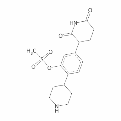 CS(=O)(=O)Oc1cc(C2CCC(=O)NC2=O)ccc1C1CCNCC1